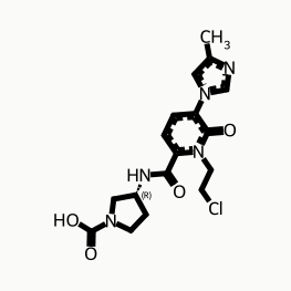 Cc1cn(-c2ccc(C(=O)N[C@@H]3CCN(C(=O)O)C3)n(CCCl)c2=O)cn1